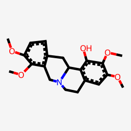 COc1cc2c(c(O)c1OC)C1Cc3ccc(OC)c(OC)c3CN1CC2